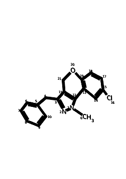 Cn1nc(Cc2ccccc2)c2c1-c1cc(Cl)ccc1OC2